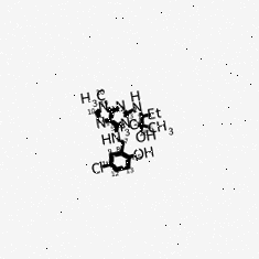 CCC(Nc1nc(NCc2cc(Cl)ccc2O)c2ncn(C)c2n1)C(C)(C)O